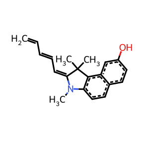 C=C/C=C/C=C1/N(C)c2ccc3ccc(O)cc3c2C1(C)C